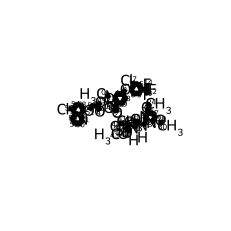 CCOc1cc(Oc2ccc(C(F)(F)F)cc2Cl)ccc1[N+](=O)[O-].COc1cc(OC)nc(NC(=O)NS(=O)(=O)N(C)S(C)(=O)=O)n1.O=C(O)COc1ccc(Cl)c2cccnc12